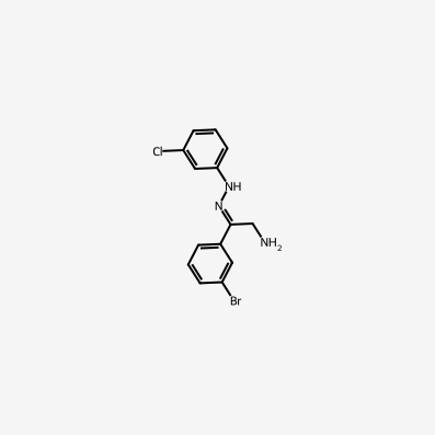 NCC(=NNc1cccc(Cl)c1)c1cccc(Br)c1